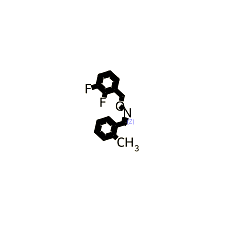 Cc1ccccc1/[C]=N\OCc1cccc(F)c1F